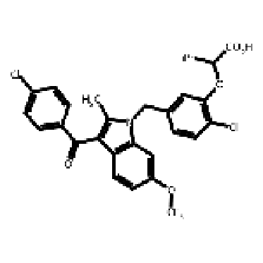 Cc1c(C(=O)c2ccc(Cl)cc2)c2ccc(OC(F)(F)F)cc2n1Cc1ccc(Cl)c(OC(C(=O)O)C(C)C)c1